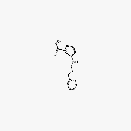 CCCC(=O)c1cccc(NCCCc2ccccc2)c1